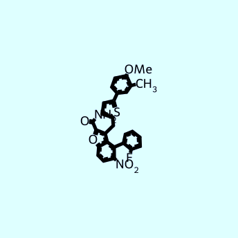 COc1ccc(-c2ccc(Cc3c(C(N)=O)oc4ccc([N+](=O)[O-])c(-c5ccccc5F)c34)s2)cc1C